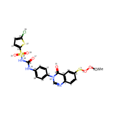 COOOSc1ccc2ncn(-c3ccc(NC(=O)NS(=O)(=O)c4ccc(Cl)s4)cc3)c(=O)c2c1